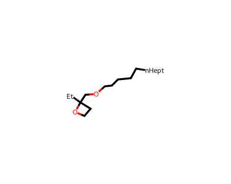 CCCCCCCCCCCCOCC1(CC)CCO1